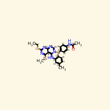 CCSc1nc(SC)c2c(Nc3cc(C)ccc3Sc3ccc(NC(C)=O)cc3)ncnc2n1